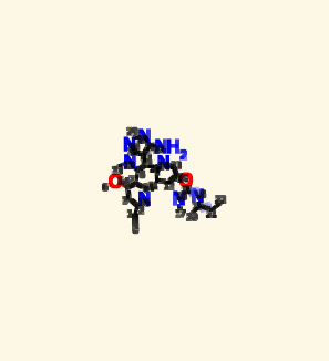 C#Cc1cc(OC)c(-c2c(-c3ccc(O/C(N=C)=N/C(C)=C\C)cn3)c3c(N)ncnc3n2C)cn1